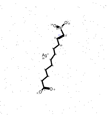 O=C([O-])CCCCCCCC/C=C/[N+](=O)[O-].[Ag+]